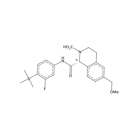 COCc1ccc2c(c1)CCN(C(=O)O)[C@H]2C(=O)Nc1ccc([Si](C)(C)C)c(F)c1